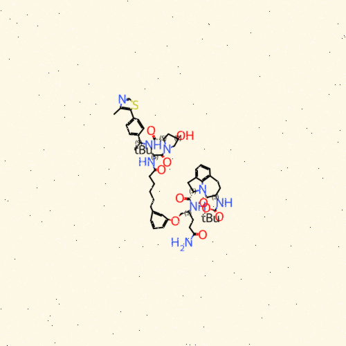 Cc1ncsc1-c1ccc([C@H](C)NC(=O)[C@@H]2C[C@@H](O)CN2C(=O)[C@@H](NC(=O)CCCCCc2cccc(OC[C@H](CCC(N)=O)NC(=O)[C@@H]3Cc4cccc5c4N3C(=O)[C@@H](NC(=O)OC(C)(C)C)CC5)c2)C(C)(C)C)cc1